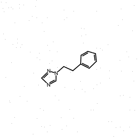 c1ccc(CCn2cncn2)cc1